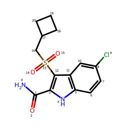 NC(=O)c1[nH]c2ccc(Cl)cc2c1S(=O)(=O)CC1CCC1